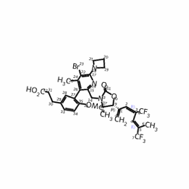 C=C(/C=C(\C=C(/C)C(F)(F)F)C(F)(F)F)[C@H]1OC(=O)N(Cc2nc(N3CCC3)c(Br)c(C)c2-c2cc(CCC(=O)O)ccc2OC)[C@H]1C